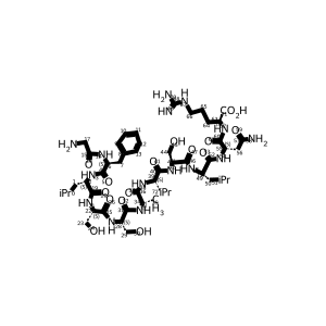 CC(C)C[C@H](NC(=O)[C@H](Cc1ccccc1)NC(=O)CN)C(=O)N[C@@H](CO)C(=O)N[C@@H](CO)C(=O)N[C@@H](C)C(=O)N[C@H](C(=O)N[C@@H](CO)C(=O)N[C@@H](CC(C)C)C(=O)N[C@@H](CC(N)=O)C(=O)N[C@@H](CCCNC(=N)N)C(=O)O)C(C)C